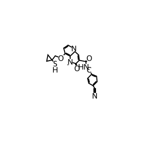 Cn1c(=O)c(C(=O)NCc2ccc(C#N)cc2)cc2nccc(OCC3(S)CC3)c21